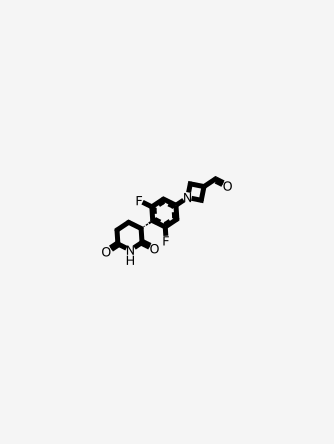 O=CC1CN(c2cc(F)c([C@H]3CCC(=O)NC3=O)c(F)c2)C1